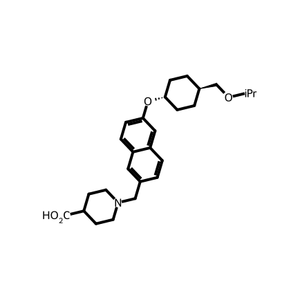 CC(C)OC[C@H]1CC[C@H](Oc2ccc3cc(CN4CCC(C(=O)O)CC4)ccc3c2)CC1